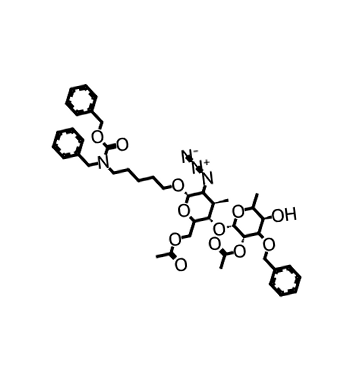 CC(=O)OCC1O[C@H](OCCCCCN(Cc2ccccc2)C(=O)OCc2ccccc2)C(N=[N+]=[N-])[C@@H](C)[C@@H]1O[C@@H]1OC(C)[C@@H](O)C(OCc2ccccc2)[C@@H]1OC(C)=O